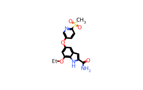 CCOc1cc(Oc2ccc(S(C)(=O)=O)nc2)cc2cc(C(N)=O)[nH]c12